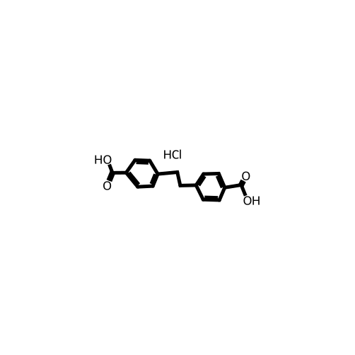 Cl.O=C(O)c1ccc(CCc2ccc(C(=O)O)cc2)cc1